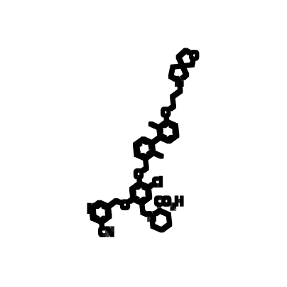 Cc1c(COc2cc(OCc3cncc(C#N)c3)c(CN3CCCC[C@H]3C(=O)O)cc2Cl)cccc1-c1cccc(OCCCN2CCC3(CCOC3)C2)c1C